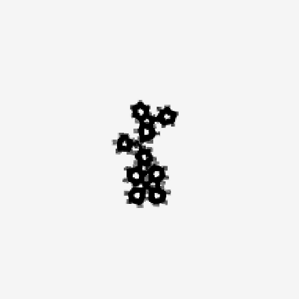 c1ccc(C2c3ccccc3-c3cc(N(c4ccccc4)c4ccc5sc6c(C7(c8ccccc8)c8ccccc8-c8ccccc87)cccc6c5c4)ccc32)cc1